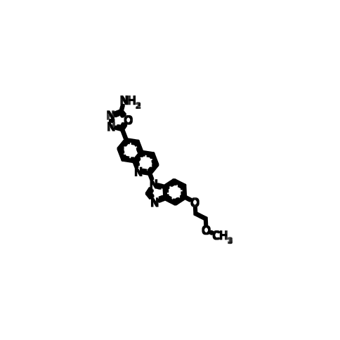 COCCOc1ccc2c(c1)ncn2-c1ccc2cc(-c3nnc(N)o3)ccc2n1